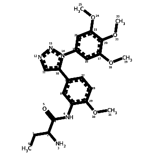 CCC(N)C(=O)Nc1cc(-c2cnnn2-c2cc(OC)c(OC)c(OC)c2)ccc1OC